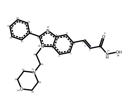 O=C(/C=C/c1ccc2c(c1)nc(-c1ccccc1)n2CCN1CCOCC1)NO